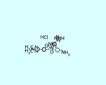 CN(C)c1ncc(-c2ccc(C[C@@H](C(N)=O)N(c3ccc(-c4nn[nH]n4)cc3)C(=O)[C@H]3CC[C@H](CN)CC3)cc2)cn1.Cl